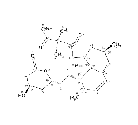 COC(=O)C(C)(C)C(=O)O[C@H]1C[C@@H](C)C=C2C=C[C@H](C)[C@H](CC[C@@H]3C[C@@H](O)CC(=O)O3)[C@H]21